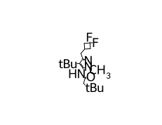 Cn1nc(CC2CC(F)(F)C2)c(C(C)(C)C)c1NC(=O)CC(C)(C)C